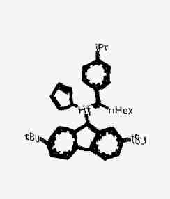 CCCCCC[C](c1ccc(C(C)C)cc1)=[Hf]([CH]1C=CC=C1)[CH]1c2cc(C(C)(C)C)ccc2-c2ccc(C(C)(C)C)cc21